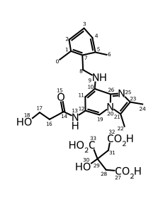 Cc1cccc(C)c1CNc1cc(NC(=O)CCO)cn2c(C)c(C)nc12.O=C(O)CC(O)(CC(=O)O)C(=O)O